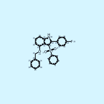 O=S(=O)(c1ccccc1)c1c(-c2ccc(F)cc2)[nH]c2cccc(OCc3ccccc3)c12